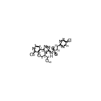 COC[C@H]1COc2c(ccnc2Cl)-c2nnc(NS(=O)(=O)CCc3ncc(Cl)cn3)n21